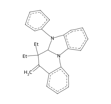 C=C1c2ccccc2N2c3ccccc3N(c3ccccc3)C2C1(CC)CC